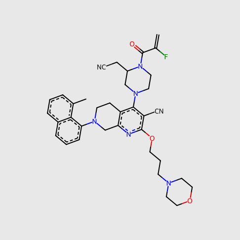 C=C(F)C(=O)N1CCN(c2c(C#N)c(OCCCN3CCOCC3)nc3c2CCN(c2cccc4cccc(C)c24)C3)CC1CC#N